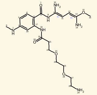 CNc1ccc(C(=O)N/C(N)=C/C=C(\N)OC)c(NC(=O)CCOCCOCCN)c1